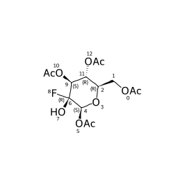 CC(=O)OC[C@H]1O[C@@H](OC(C)=O)[C@](O)(F)[C@@H](OC(C)=O)[C@@H]1OC(C)=O